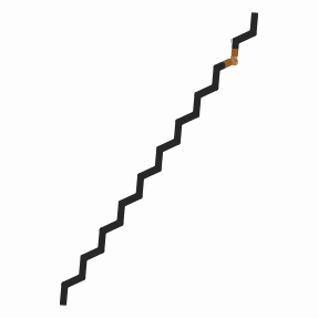 CC[CH]SCCCCCCCCCCCCCCCCCC